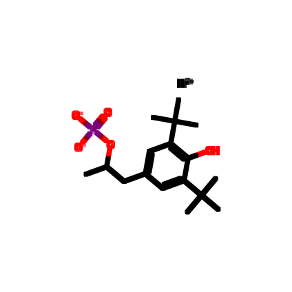 CC(Cc1cc(C(C)(C)C)c(O)c(C(C)(C)C)c1)OP(=O)([O-])[O-].[Ni+2]